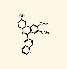 COc1cc2c(cc1OC)C1CC(O)CCC1N=C2c1ccc2ncccc2c1